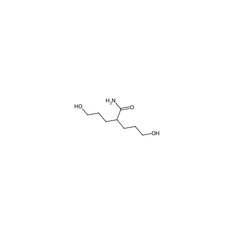 NC(=O)C(CCCO)CCCO